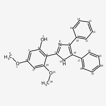 COc1cc(O)c(-c2nc(-c3ccccc3)c(-c3ccccc3)[nH]2)c(OC)c1